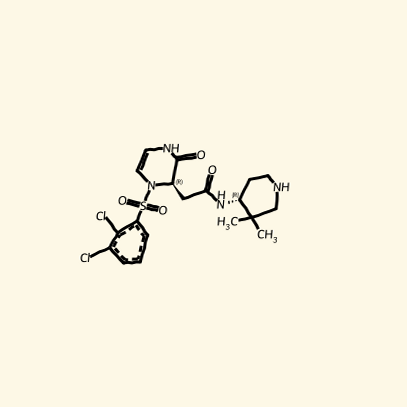 CC1(C)CNCC[C@H]1NC(=O)C[C@@H]1C(=O)NC=CN1S(=O)(=O)c1cccc(Cl)c1Cl